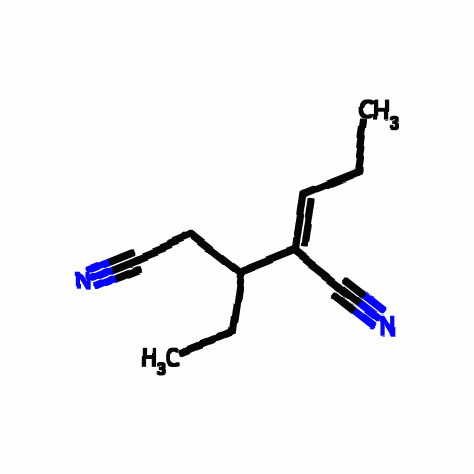 CCC=C(C#N)C(CC)CC#N